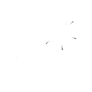 C[C@H]1[C@@H](CC(=O)c2ccnc(F)c2)CC[C@@H](C)[C@H]1C